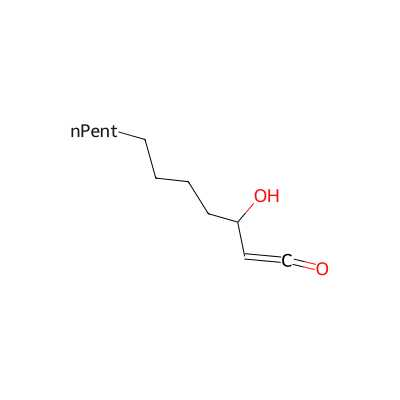 CCCCCCCCCC(O)C=C=O